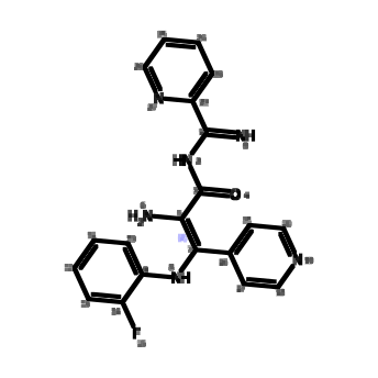 N=C(NC(=O)/C(N)=C(/Nc1ccccc1F)c1ccncc1)c1ccccn1